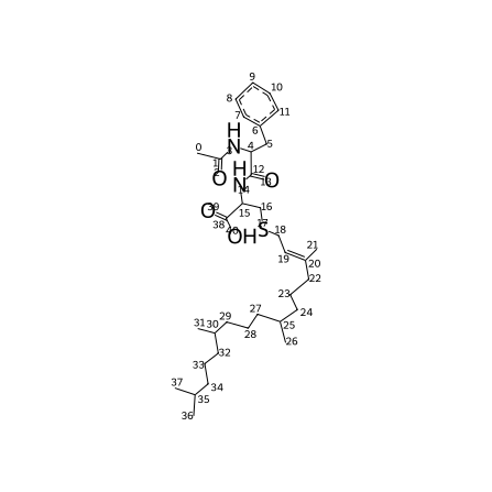 CC(=O)NC(Cc1ccccc1)C(=O)NC(CSC/C=C(\C)CCCC(C)CCCC(C)CCCC(C)C)C(=O)O